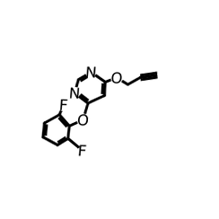 C#CCOc1cc(Oc2c(F)cccc2F)ncn1